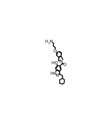 NCCCOc1ccc2c(c1)CN(C(=O)c1cc3c(CC4CCCCC4)n[nH]c3cc1O)C2